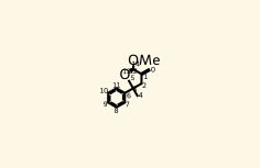 C=C(CC(C)(C)c1ccccc1)C(=O)OC